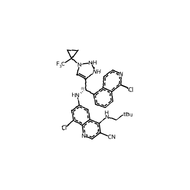 CC(C)(C)CNc1c(C#N)cnc2c(Cl)cc(N[C@H](C3=CN(C4(C(F)(F)F)CC4)NN3)c3cccc4c(Cl)nccc34)cc12